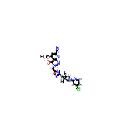 Cc1cc(C#N)nc2ncn(Cc3nc([C@H]4[C@@H]5CN(c6cc(Cl)ccn6)C[C@@H]54)no3)c(=O)c12